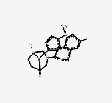 COc1ccc(N2C[C@H]3CC[C@H]2CN(c2ncc4cc(F)ccc4n2)C3)cc1